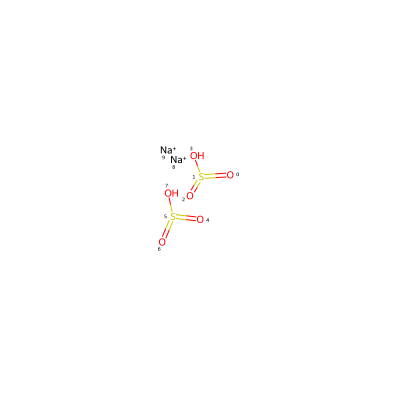 O=[S-](=O)O.O=[S-](=O)O.[Na+].[Na+]